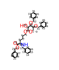 C[C@@H]1O[C@@H](OCCCCC(NCc2ccccc2)C(=O)OCc2ccccc2)[C@H](O)[C@H](OCc2ccccc2)[C@H]1OCc1ccccc1